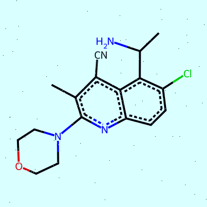 Cc1c(N2CCOCC2)nc2ccc(Cl)c(C(C)N)c2c1C#N